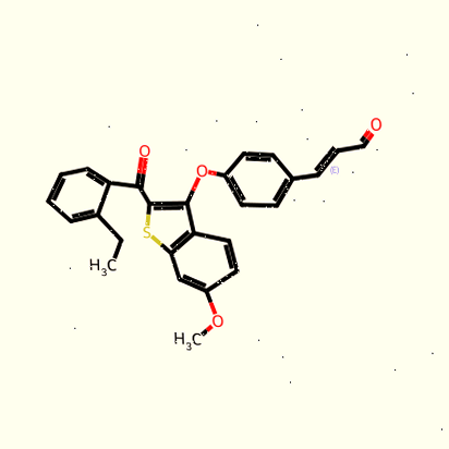 CCc1ccccc1C(=O)c1sc2cc(OC)ccc2c1Oc1ccc(/C=C/C=O)cc1